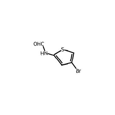 O=CNc1cc(Br)cs1